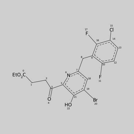 CCOC(=O)CCC(=O)c1nc(Cc2c(F)ccc(Cl)c2F)cc(Br)c1O